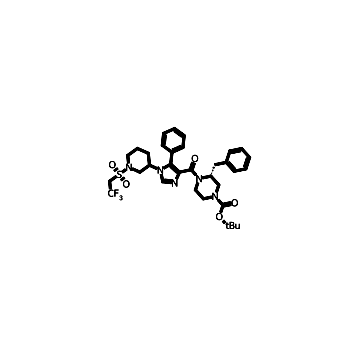 CC(C)(C)OC(=O)N1CCN(C(=O)c2ncn(C3CCCN(S(=O)(=O)CC(F)(F)F)C3)c2-c2ccccc2)[C@H](Cc2ccccc2)C1